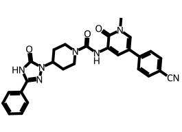 Cn1cc(-c2ccc(C#N)cc2)cc(NC(=O)N2CCC(n3nc(-c4ccccc4)[nH]c3=O)CC2)c1=O